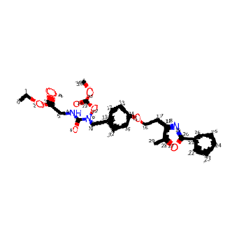 CCOC(=O)CNC(=O)N(Cc1ccc(OCCc2nc(-c3ccccc3)oc2C)cc1)OC(=O)OC